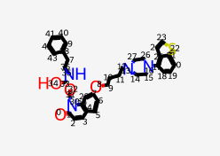 O=c1ccc2ccc(OCCCCN3CCN(c4cccc5sccc45)CC3)cc2n1COC(O)NCCc1ccccc1